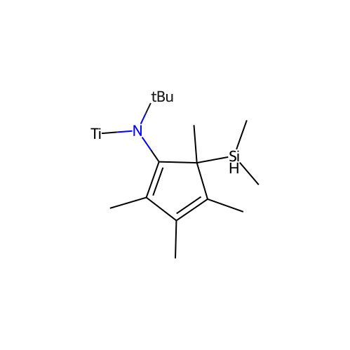 CC1=C(C)C(C)([SiH](C)C)C([N]([Ti])C(C)(C)C)=C1C